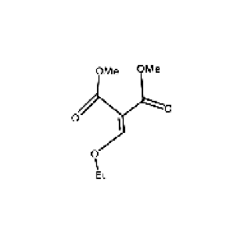 CCOC=C(C(=O)OC)C(=O)OC